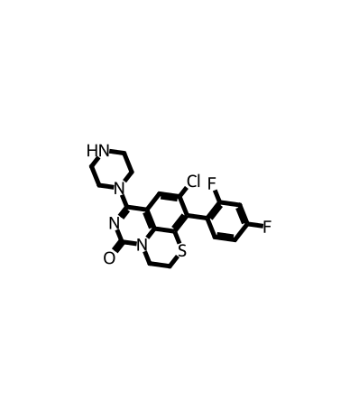 O=c1nc(N2CCNCC2)c2cc(Cl)c(-c3ccc(F)cc3F)c3c2n1CCS3